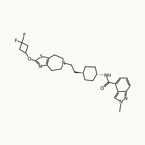 Cn1cc2c(C(=O)N[C@H]3CC[C@H](CCN4CCc5nc(OC6CC(F)(F)C6)sc5CC4)CC3)cccc2n1